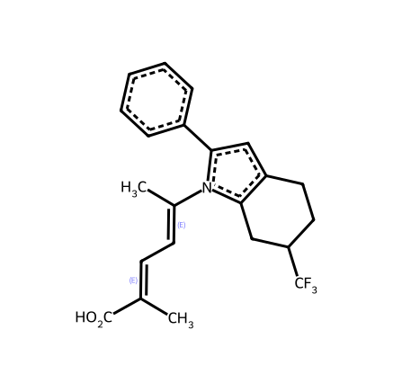 C/C(=C\C=C(/C)n1c(-c2ccccc2)cc2c1CC(C(F)(F)F)CC2)C(=O)O